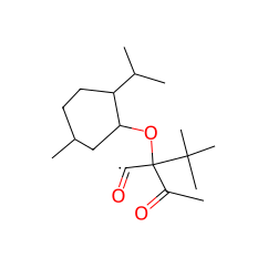 CC(=O)C([C]=O)(OC1CC(C)CCC1C(C)C)C(C)(C)C